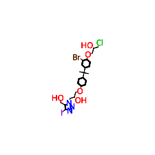 CC(C)(c1ccc(OC[C@@H](O)Cn2nnc(I)c2CO)cc1)c1ccc(OC[C@@H](O)CCl)c(Br)c1